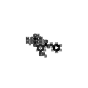 CC1CC(O[Si](C)(C)C(C)(C)C)CC(C(=O)OCc2ccccc2)C1